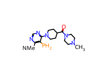 CNc1ncnc(N2CCC(C(=O)N3CCN(C)CC3)CC2)c1P